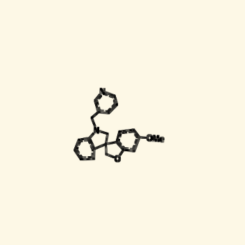 COc1ccc2c(c1)OCC21CN(Cc2cccnc2)c2ccccc21